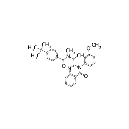 COc1cccc(-n2c(C(C)N(C)C(=O)c3ccc(C(C)(C)C)cc3)nc3ccccc3c2=O)c1